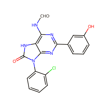 O=[C]Nc1nc(-c2cccc(O)c2)nc2c1[nH]c(=O)n2-c1ccccc1Cl